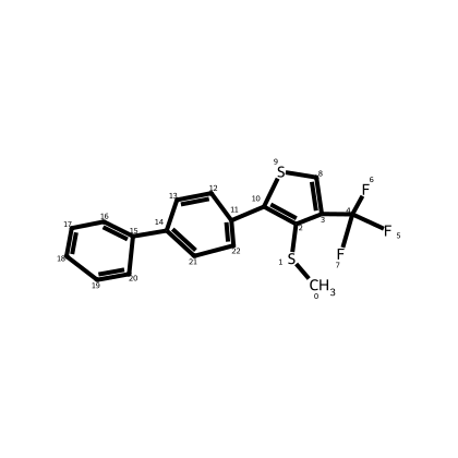 CSc1c(C(F)(F)F)csc1-c1ccc(-c2ccccc2)cc1